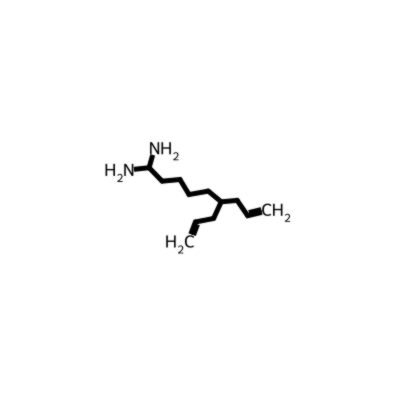 C=CCC(CC=C)CCCCC(N)N